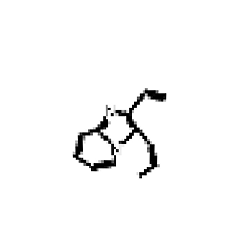 C=Cc1nc2ccccn2c1/C=C\C